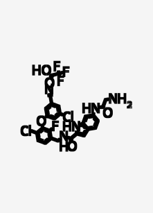 N#Cc1cc(Cl)cc(Oc2c(Cl)ccc(CNC(=O)c3cc4ccc(NC(=O)CN)cc4[nH]3)c2F)c1.O=C(O)C(F)(F)F